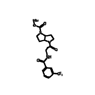 CC(C)(C)OC(=O)N1CCC2C1CCN2C(=O)CNC(=O)c1cccc(C(F)(F)F)c1